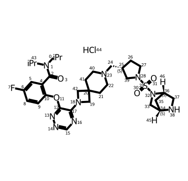 CC(C)N(C(=O)c1cc(F)ccc1Oc1nncnc1N1CC2(CCN(C[C@@H]3CCN(S(=O)(=O)N4C[C@@H]5C[C@H]4CN5)C3)CC2)C1)C(C)C.Cl